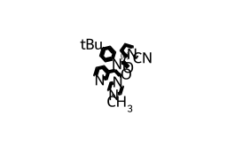 CN1CCN(C(=O)C(c2cccnc2)N(C(=O)[C@H]2CCCN2C#N)c2ccc(C(C)(C)C)cc2)CC1